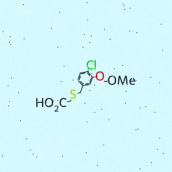 COCOc1cc(CSCC(=O)O)ccc1Cl